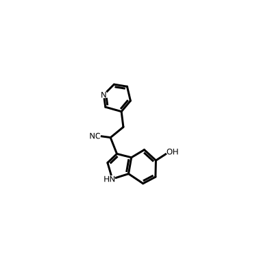 N#CC(Cc1cccnc1)c1c[nH]c2ccc(O)cc12